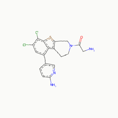 NCC(=O)N1CCc2c(sc3c(Cl)c(Cl)cc(-c4ccc(N)nc4)c23)C1